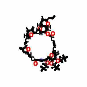 C=C1C[C@@H]2CCC(=O)/C=C/[C@H](O[Si](C)(C)C(C)(C)C)[C@@H]3O[C@@H](CC=CCC(=O)OC4[C@H](CC5O[C@@H](CCC1O2)C[C@@H](C)C5=C)O[C@H]1C[C@@H](C)[C@@H](CCC)O[C@H]1[C@@H]4C)[C@H](C)[C@H](O[Si](C)(C)C(C)(C)C)[C@@H]3O[Si](C)(C)C(C)(C)C